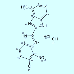 Cc1cccc2[nH]c(-c3nc4c([N+](=O)[O-])c(Cl)ccc4[nH]3)nc12.Cl.Cl